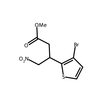 COC(=O)CC(C[N+](=O)[O-])c1sccc1Br